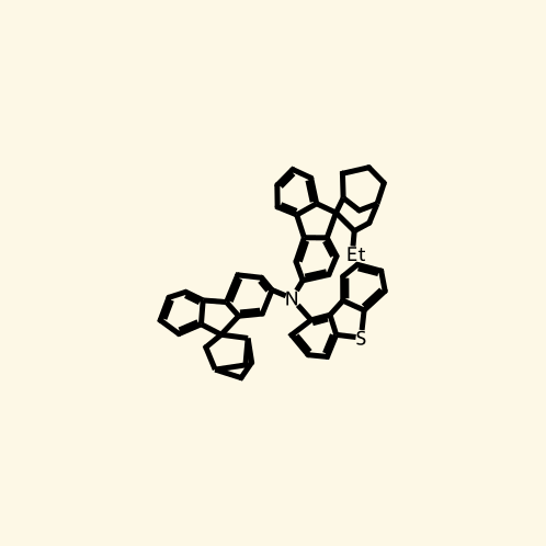 CCC1CC2CCCC(C2)C12c1ccccc1-c1cc(N(c3ccc4c(c3)C3(CC5CCC3C5)c3ccccc3-4)c3cccc4sc5ccccc5c34)ccc12